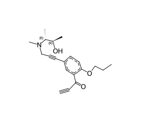 C#CC(=O)c1cc(C#CCN(C)[C@H](C)[C@@H](C)O)ccc1OCCC